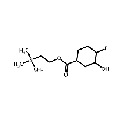 C[Si](C)(C)CCOC(=O)C1CCC(F)C(O)C1